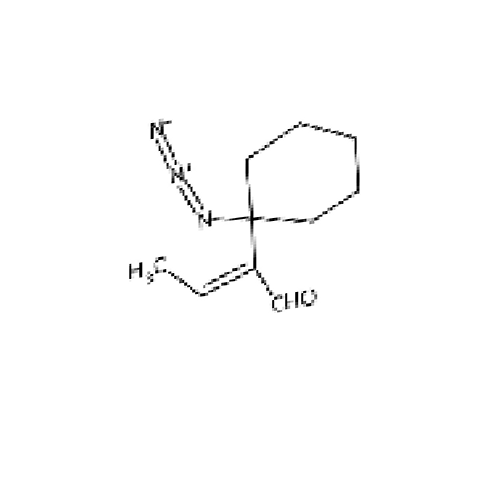 C/C=C(/C=O)C1(N=[N+]=[N-])CCCCC1